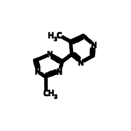 Cc1ncnc(-c2ncncc2C)n1